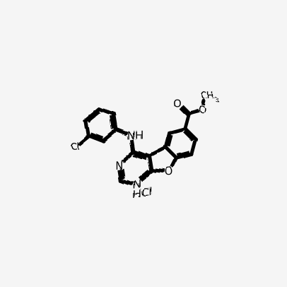 COC(=O)c1ccc2oc3ncnc(Nc4cccc(Cl)c4)c3c2c1.Cl